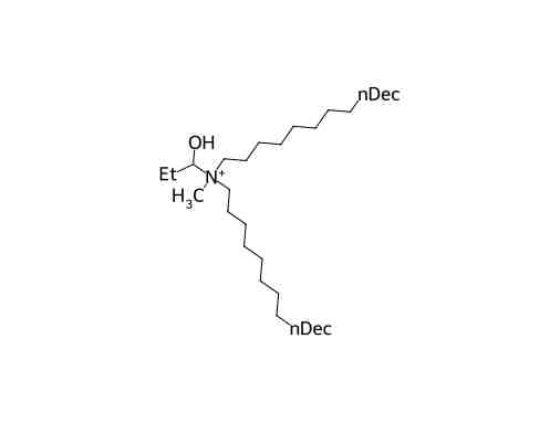 CCCCCCCCCCCCCCCCCC[N+](C)(CCCCCCCCCCCCCCCCCC)C(O)CC